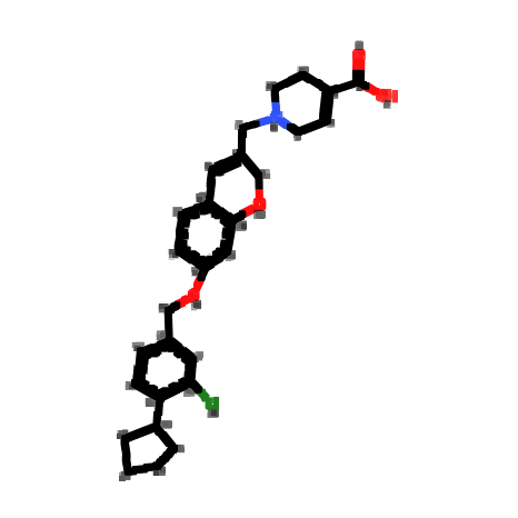 O=C(O)C1=CCN(CC2=Cc3ccc(OCc4ccc(C5CCCC5)c(Cl)c4)cc3OC2)CC1